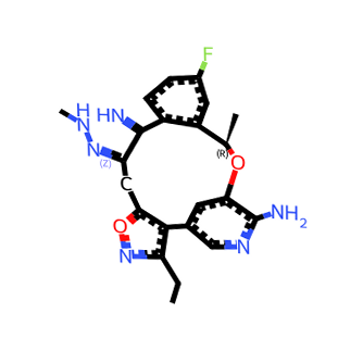 CCc1noc2c1-c1cnc(N)c(c1)O[C@H](C)c1cc(F)ccc1C(=N)/C(=N\NC)C2